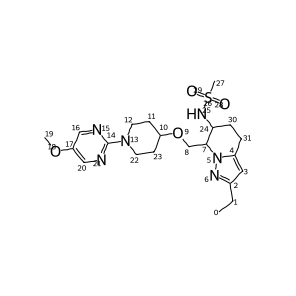 CCc1cc2n(n1)C(COC1CCN(c3ncc(OC)cn3)CC1)C(NS(C)(=O)=O)CC2